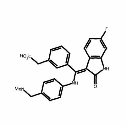 CNCc1ccc(N/C(=C2\C(=O)Nc3cc(F)ccc32)c2cccc(CC(=O)O)c2)cc1